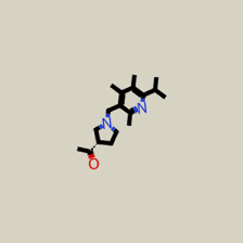 CC(=O)[C@H]1CCN(Cc2c(C)nc(C(C)C)c(C)c2C)C1